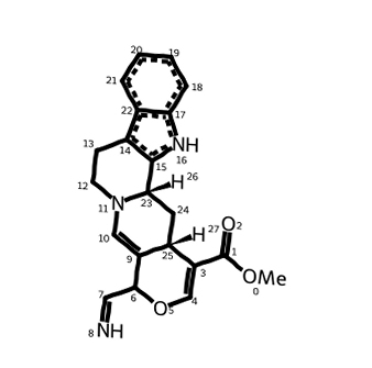 COC(=O)C1=COC(C=N)C2=CN3CCc4c([nH]c5ccccc45)[C@@H]3C[C@H]12